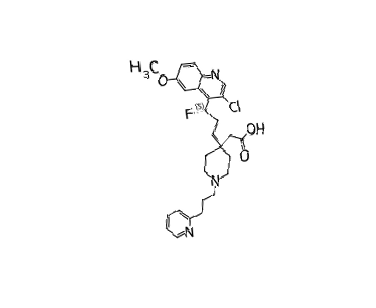 COc1ccc2ncc(Cl)c([C@@H](F)CCC3(CC(=O)O)CCN(CCCc4ccccn4)CC3)c2c1